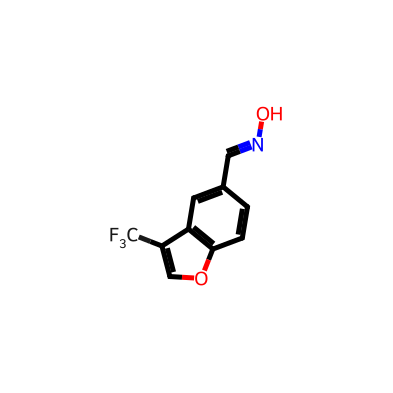 ON=Cc1ccc2occ(C(F)(F)F)c2c1